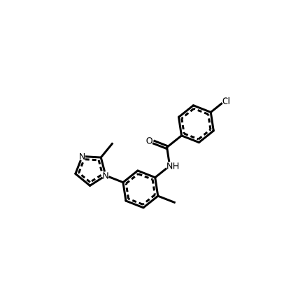 Cc1ccc(-n2ccnc2C)cc1NC(=O)c1ccc(Cl)cc1